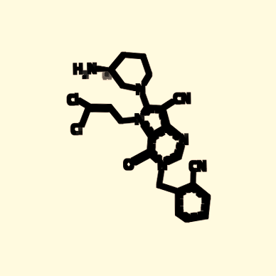 N#Cc1ccccc1Cn1cnc2c(C#N)c(N3CCC[C@H](N)C3)n(CC=C(Cl)Cl)c2c1=O